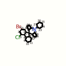 ClC1=CC(Br)=CC2C1c1ccccc1C21c2ccccc2N(c2ccccc2)c2ccccc21